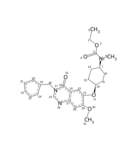 CCOC(=O)N(C)[C@H]1CC[C@@H](Oc2cc3c(=O)n(Cc4ccccc4)cnc3cc2OC)CC1